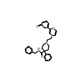 O=C1C=CC=C(C2=CN(CCN3CCC(C(=O)NCc4ccccc4)(c4ccccc4)CC3)C=CO2)C1